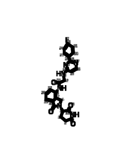 O=C1CCC(N2Cc3c(NC(=O)CNc4ccnc(-c5ccc(F)cc5)n4)cccc3C2=O)C(=O)N1